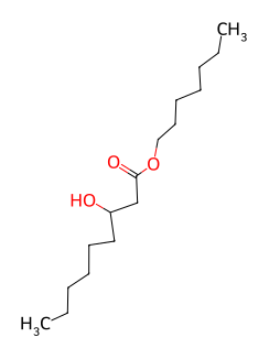 CCCCCCCOC(=O)CC(O)CCCCCC